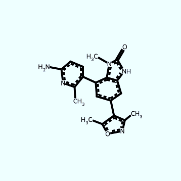 Cc1nc(N)ccc1-c1cc(-c2c(C)noc2C)cc2[nH]c(=O)n(C)c12